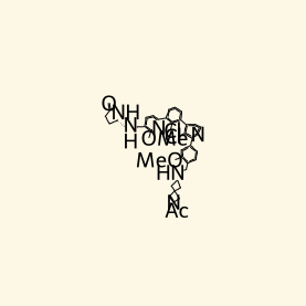 COc1cc(-c2nccc(-c3cccc(-c4ccc(CNC[C@@H]5CCC(=O)N5)c(OC)n4)c3Cl)c2Cl)ccc1CNC1CC2(C1)CN(C(C)=O)C2